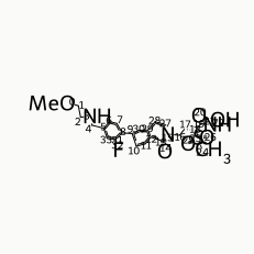 COCCNCc1ccc(-c2ccc3c(=O)n(CC[C@H](C(=O)NO)S(C)(=O)=O)ccc3c2)c(F)c1